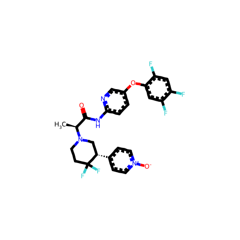 C[C@@H](C(=O)Nc1ccc(Oc2cc(F)c(F)cc2F)cn1)N1CCC(F)(F)[C@@H](c2cc[n+]([O-])cc2)C1